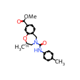 COC(=O)c1ccc2c(c1)O[C@@H](C)CN(C(=O)Nc1ccc(C)cc1)C2